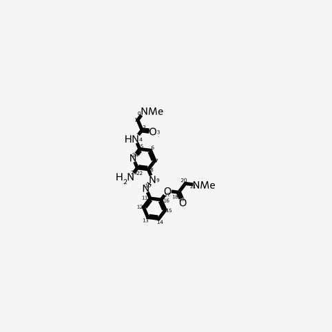 CNCC(=O)Nc1ccc(/N=N/c2ccccc2OC(=O)CNC)c(N)n1